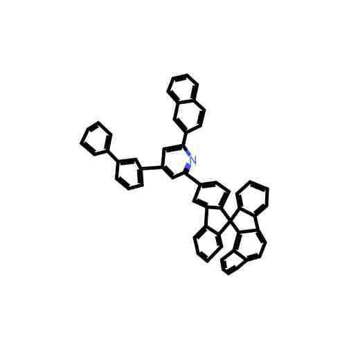 c1ccc(-c2cccc(-c3cc(-c4ccc5c(c4)-c4ccccc4C54c5ccccc5-c5ccc6ccccc6c54)nc(-c4ccc5ccccc5c4)c3)c2)cc1